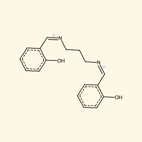 Oc1ccccc1/C=N\CCC/N=C\c1ccccc1O